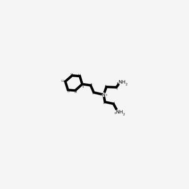 NCCN(CCN)CCC1CCCCC1